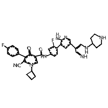 N#Cc1c(-c2ccc(F)cc2)c(=O)c(C(=O)Nc2ccc(-c3cc(/C(C=N)=C/NC4CCNCC4)cnc3N)c(F)c2)cn1C1CCC1